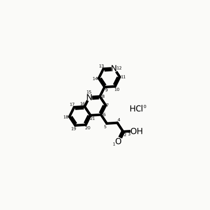 Cl.O=C(O)CCc1cc(-c2ccncc2)nc2ccccc12